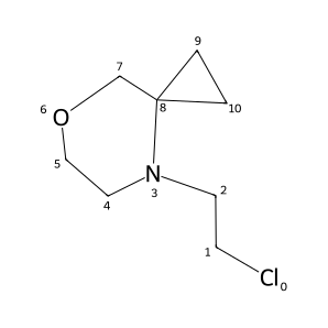 ClCCN1CCOCC12CC2